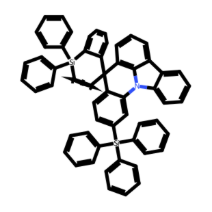 c1ccc([Si](c2ccccc2)(c2ccccc2)c2ccc3c(c2)-n2c4ccccc4c4cccc(c42)C32c3ccccc3[Si](c3ccccc3)(c3ccccc3)c3ccccc32)cc1